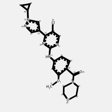 COc1cc(Nc2ncc(Cl)c(-c3cnn(C4CC4)c3)n2)ccc1C(=O)N1CCOCC1